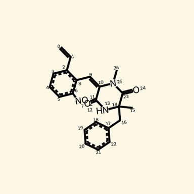 C=Cc1cccc([N+](=O)[O-])c1/C=C1\C(=O)NC(C)(Cc2ccccc2)C(=O)N1C